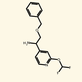 NC(COCc1ccccc1)c1ccnc(OC(F)F)c1